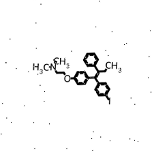 CC/C(=C(\c1ccc(I)cc1)c1ccc(OCCN(C)C)cc1)c1ccccc1